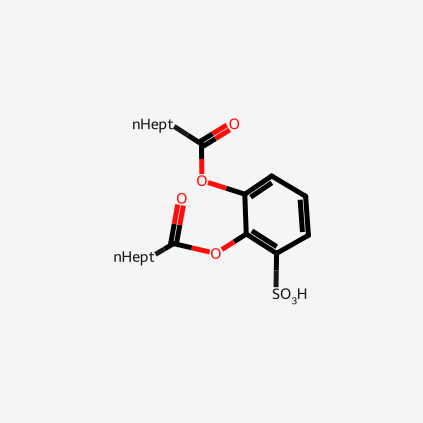 CCCCCCCC(=O)Oc1cccc(S(=O)(=O)O)c1OC(=O)CCCCCCC